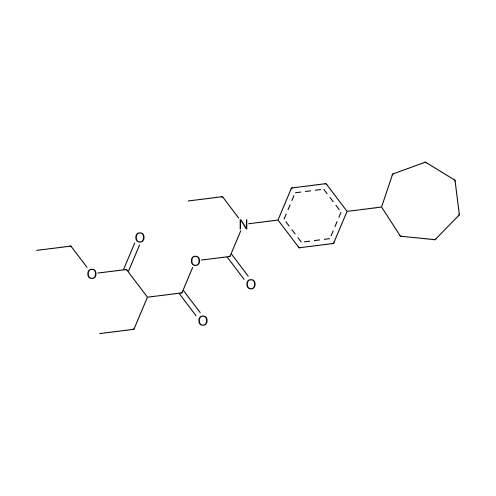 CCOC(=O)C(CC)C(=O)OC(=O)N(CC)c1ccc(C2CCCCCC2)cc1